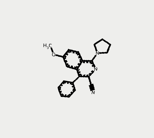 COc1ccc2c(N3CCCC3)nc(C#N)c(-c3ccccc3)c2c1